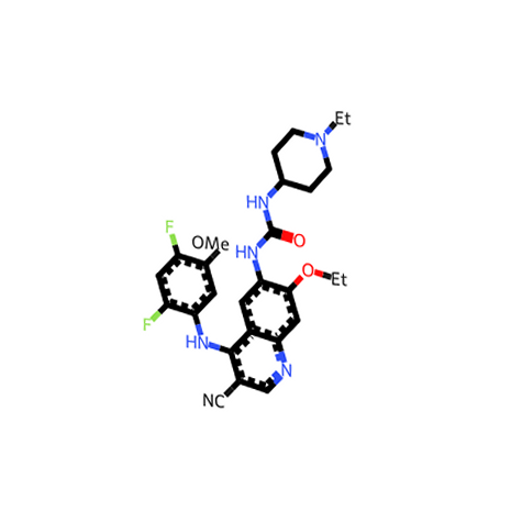 CCOc1cc2ncc(C#N)c(Nc3cc(OC)c(F)cc3F)c2cc1NC(=O)NC1CCN(CC)CC1